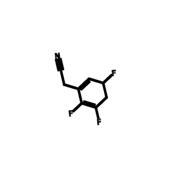 N#CCC1=CC(F)CC(F)=C1F